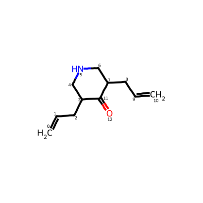 C=CCC1CNCC(CC=C)C1=O